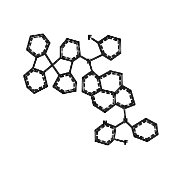 Fc1ccccc1N(c1cccc2c1-c1ccccc1C21c2ccccc2-c2ccccc21)c1ccc2ccc3c(N(c4ccccc4)c4ncccc4F)ccc4ccc1c2c43